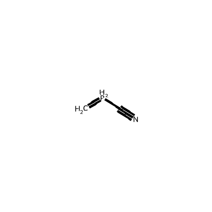 C=[PH2]C#N